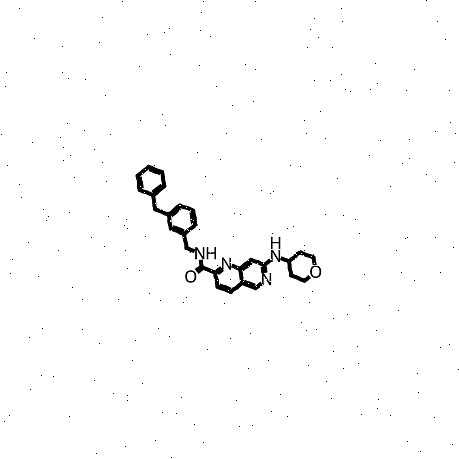 O=C(NCc1cccc(Cc2ccccc2)c1)c1ccc2cnc(NC3CCOCC3)cc2n1